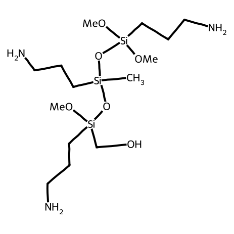 CO[Si](CO)(CCCN)O[Si](C)(CCCN)O[Si](CCCN)(OC)OC